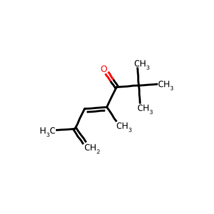 C=C(C)/C=C(\C)C(=O)C(C)(C)C